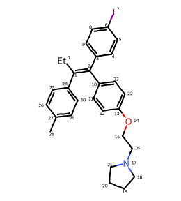 CC/C(=C(\c1ccc(I)cc1)c1ccc(OCCN2CCCC2)cc1)c1ccc(C)cc1